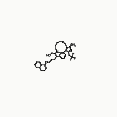 Cn1nc(CC(F)(F)F)c2c1COCCCCn1c(CO)c(CCCOc3cccc4ccccc34)c3cccc-2c31